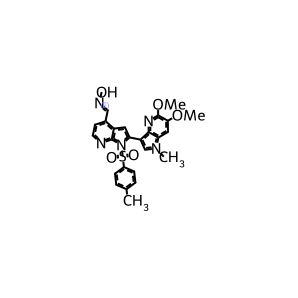 COc1cc2c(nc1OC)c(-c1cc3c(/C=N/O)ccnc3n1S(=O)(=O)c1ccc(C)cc1)cn2C